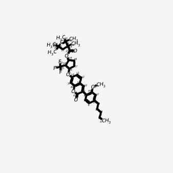 CCCCCc1ccc(-c2cc3ccc(OC4CCC(OC(=O)C(C)(CC(C)(C)C)C(C)(C)C)C4C(F)(F)F)cc3oc2=O)c(OC)c1